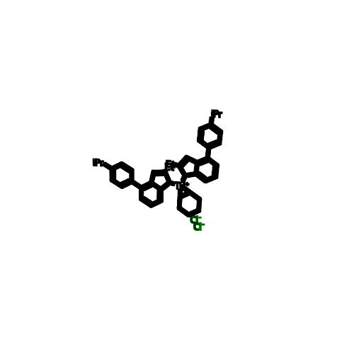 CCC1=Cc2c(-c3ccc(C(C)C)cc3)cccc2[CH]1[Ti+2]1([CH]2C(CC)=Cc3c(-c4ccc(C(C)C)cc4)cccc32)[CH]2CCCC[CH]21.[Cl-].[Cl-]